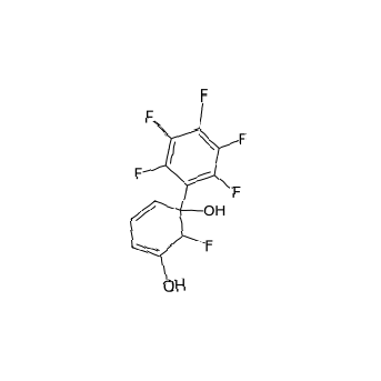 OC1=CC=CC(O)(c2c(F)c(F)c(F)c(F)c2F)C1F